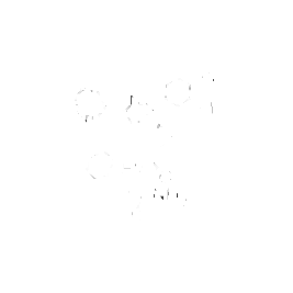 NC(=O)[C@H](Cc1ccccc1)NC(=O)C1C[C@H]1c1cc(-c2cccnc2)nn1-c1ccc(Cl)c(Cl)c1